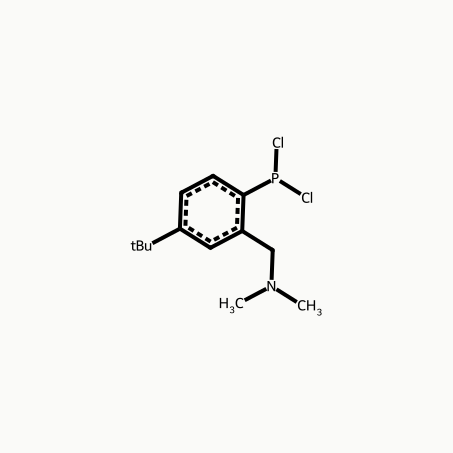 CN(C)Cc1cc(C(C)(C)C)ccc1P(Cl)Cl